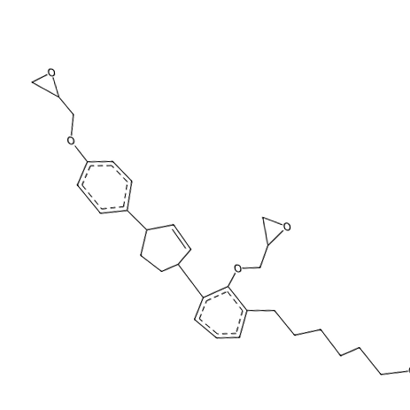 CCCCCCCc1cccc(C2C=CC(c3ccc(OCC4CO4)cc3)CC2)c1OCC1CO1